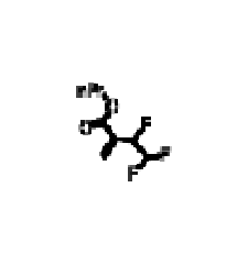 C=C(C(=O)OCCC)C(F)C(F)F